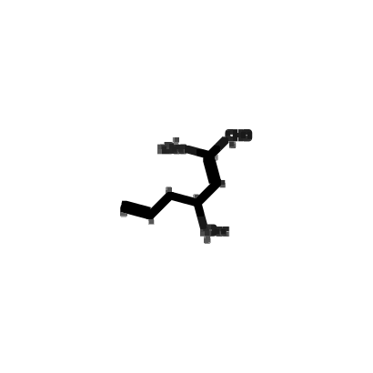 C=CCC(C=C(C=O)CCCCCCCCCC)CCCCCCCCCC